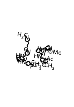 CN1CCC(CCCOc2cc(CNc3ncccc3C(=O)Nc3ccc(C(F)(F)C(F)(F)F)cc3)ccn2)CC1.COc1cc(CNc2ncccc2C(=O)Nc2ccc3c(c2)N(C(C)=O)CC3(C)C)ccn1